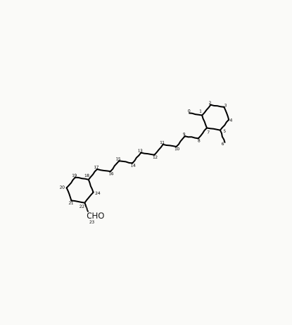 CC1CCCC(C)C1CCCCCCCCCCC1CCCC(C=O)C1